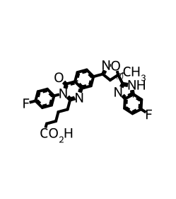 C[C@]1(c2nc3ccc(F)cc3[nH]2)CC(c2ccc3c(=O)n(-c4ccc(F)cc4)c(CCCCC(=O)O)nc3c2)=NO1